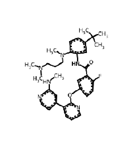 CNc1cc(-c2cccnc2Oc2ccc(F)c(C(=O)Nc3cc(C(C)(C)C)ccc3N(C)CCCN(C)C)c2)ccn1